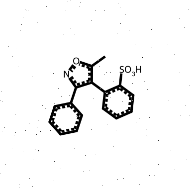 Cc1onc(-c2ccccc2)c1-c1ccccc1S(=O)(=O)O